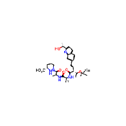 CC(C)[C@H](NC(=O)[C@H](/C=C/c1ccc2ccc([C@@H](C)O)nc2c1)C(C)O[Si](C)(C)C(C)(C)C)C(=O)N[C@@H](C)C(=O)N1CCC[C@@H](C(=O)O)N1